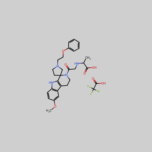 COc1ccc2[nH]c3c(c2c1)CCN(C(=O)CNC(C)C(=O)O)C31CCN(CCOc2ccccc2)C1.O=C(O)C(F)(F)F